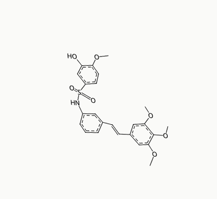 COc1ccc(S(=O)(=O)Nc2cccc(C=Cc3cc(OC)c(OC)c(OC)c3)c2)cc1O